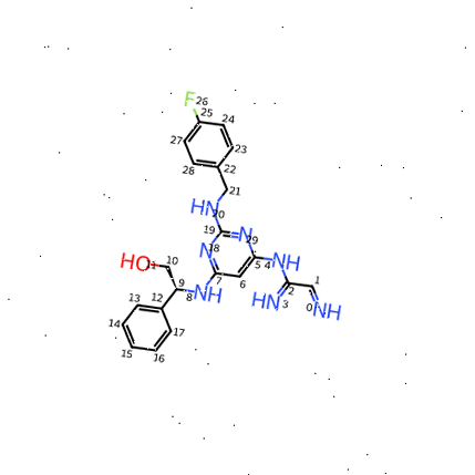 N=CC(=N)Nc1cc(N[C@H](CO)c2ccccc2)nc(NCc2ccc(F)cc2)n1